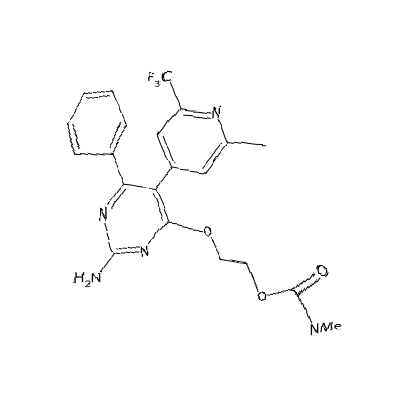 CNC(=O)OCCOc1nc(N)nc(-c2ccccc2)c1-c1cc(C)nc(C(F)(F)F)c1